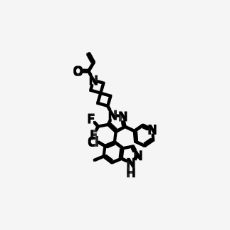 C=CC(=O)N1CC2(CC(n3nc(-c4cccnc4)c(-c4c(Cl)c(C)cc5[nH]ncc45)c3C(F)F)C2)C1